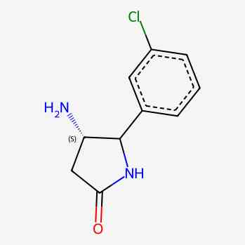 N[C@H]1CC(=O)NC1c1cccc(Cl)c1